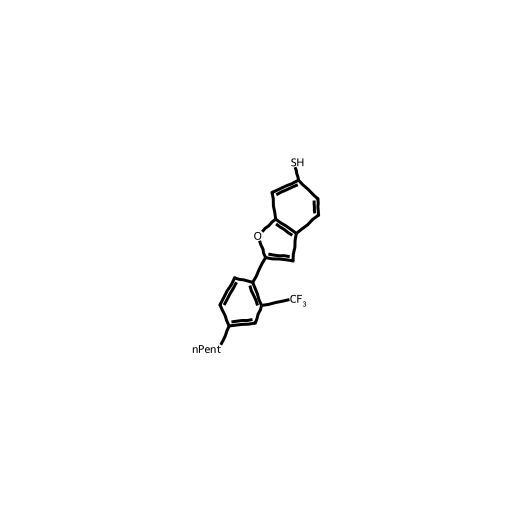 CCCCCc1ccc(-c2cc3ccc(S)cc3o2)c(C(F)(F)F)c1